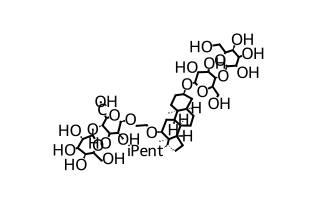 CCC[C@@H](C)[C@H]1CC[C@H]2[C@@H]3CC[C@@H]4C[C@H](O[C@@H]5OC(CO)[C@@H](O[C@H]6OC(CO)[C@@H](O)C(O)[C@@H]6O)C(O)[C@@H]5O)CC[C@]4(C)[C@H]3C[C@H](OCCO[C@@H]3OC(CO)[C@@H](O[C@H]4OC(CO)[C@@H](O)C(O)[C@@H]4O)C(O)[C@@H]3O)[C@]12C